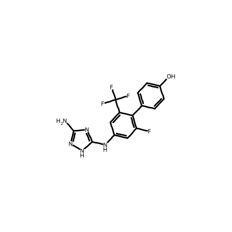 Nc1n[nH]c(Nc2cc(F)c(-c3ccc(O)cc3)c(C(F)(F)F)c2)n1